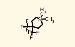 C[Si]1(C)CCC(C(F)(F)F)(C(F)(F)F)CC1